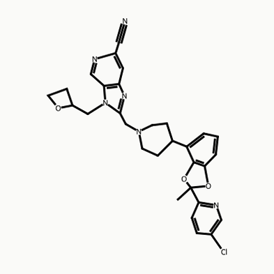 CC1(c2ccc(Cl)cn2)Oc2cccc(C3CCN(Cc4nc5cc(C#N)ncc5n4CC4CCO4)CC3)c2O1